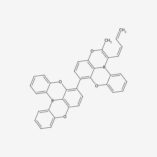 C=C/C=C\C1=C(C)Oc2ccc(-c3ccc4c5c3Oc3ccccc3B5c3ccccc3O4)c3c2B1c1ccccc1O3